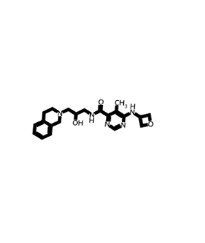 Cc1c(NC2COC2)ncnc1C(=O)NCC(O)CN1CCc2ccccc2C1